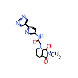 CN1C(=O)C2=C(C1=O)N(CC(=O)Nc1ccc(-c3cncnc3)nc1)CCC2